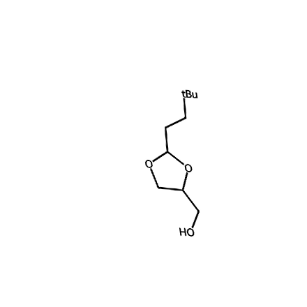 CC(C)(C)CCC1OCC(CO)O1